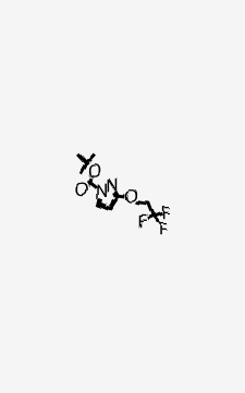 CC(C)(C)OC(=O)n1ccc(OCCC(F)(F)F)n1